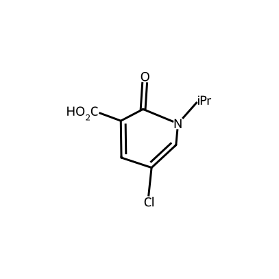 CC(C)n1cc(Cl)cc(C(=O)O)c1=O